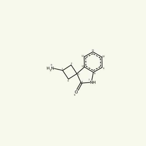 NC1CC2(C1)C(=O)Nc1ccccc12